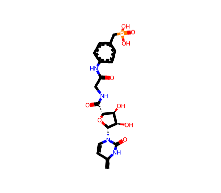 C=C1C=CN([C@@H]2O[C@H](C(=O)NCC(=O)Nc3ccc(CP(=O)(O)O)cc3)[C@@H](O)[C@H]2O)C(=O)N1